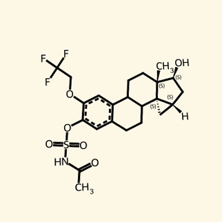 CC(=O)NS(=O)(=O)Oc1cc2c(cc1OCC(F)(F)F)C1CC[C@]3(C)[C@@H](O)C[C@@H]4C[C@@]43C1CC2